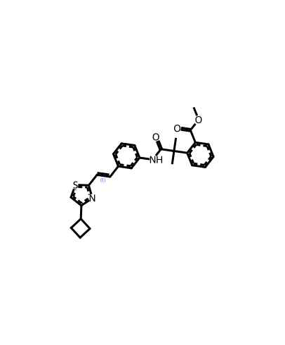 COC(=O)c1ccccc1C(C)(C)C(=O)Nc1cccc(/C=C/c2nc(C3CCC3)cs2)c1